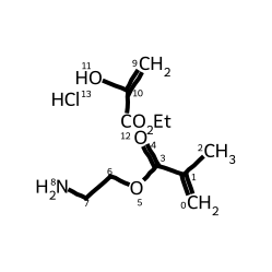 C=C(C)C(=O)OCCN.C=C(O)C(=O)OCC.Cl